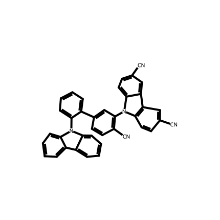 N#Cc1ccc2c(c1)c1cc(C#N)ccc1n2-c1cc(-c2ccccc2-n2c3ccccc3c3ccccc32)ccc1C#N